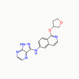 c1cc2cc(Nc3n[nH]c4nccnc34)ccc2c(OC2CCOC2)n1